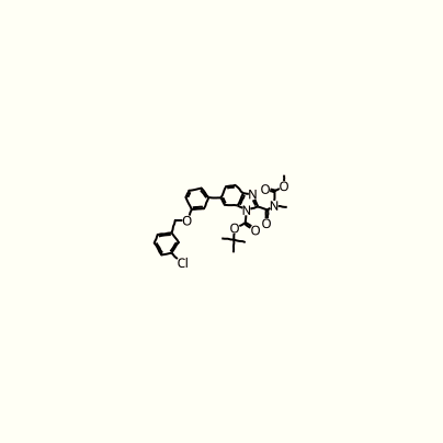 COC(=O)N(C)C(=O)c1nc2ccc(-c3cccc(OCc4cccc(Cl)c4)c3)cc2n1C(=O)OC(C)(C)C